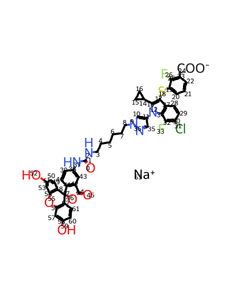 O=C(NCCCCCCn1cc(-n2c(C3CC3)c(Sc3cccc(C(=O)[O-])c3F)c3ccc(Cl)c(F)c32)cn1)Nc1ccc2c(c1)C(=O)OC21c2ccc(O)cc2Oc2cc(O)ccc21.[Na+]